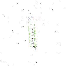 CC(O)N(C)C(F)CC(F)(F)C(F)(F)C(F)(F)C(F)(F)C(F)(F)C(F)(F)C(F)(F)C(F)(F)C(F)(F)C(F)(F)F